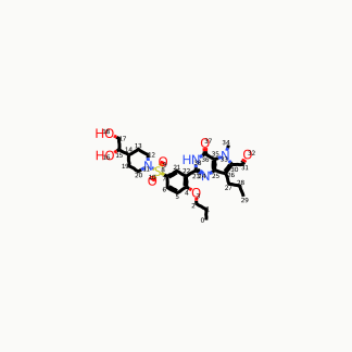 CCCOc1ccc(S(=O)(=O)N2CCC(C(O)CO)CC2)cc1-c1nc2c(CCC)c(C=O)n(C)c2c(=O)[nH]1